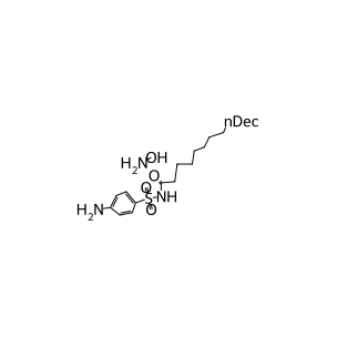 CCCCCCCCCCCCCCCCCC(=O)NS(=O)(=O)c1ccc(N)cc1.NO